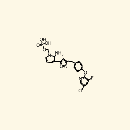 NC1C(c2cc(Cc3ccc(Oc4ncc(Cl)cc4F)cc3)no2)=CC=CN1COP(=O)(O)O